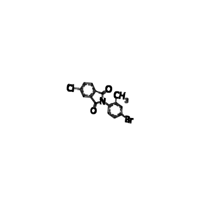 Cc1cc(Br)ccc1N1C(=O)c2ccc(Cl)cc2C1=O